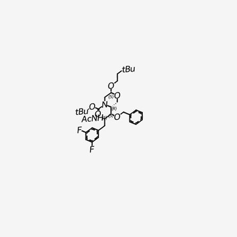 CC(=O)N[C@@H](Cc1cc(F)cc(F)c1)[C@H](OCc1ccccc1)[C@H]1CO[C@H](OCCC(C)(C)C)CN1C(=O)OC(C)(C)C